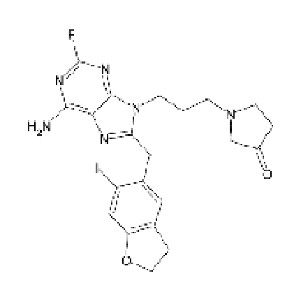 Nc1nc(F)nc2c1nc(Cc1cc3c(cc1I)OCC3)n2CCCN1CCC(=O)C1